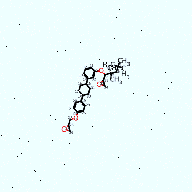 CC(C)(C)CC(C)(C)C(Oc1cccc(C2CCC(c3ccc(OCC4CO4)cc3)CC2)c1)C1CO1